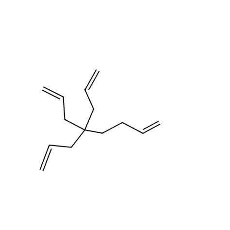 C=CCCC(CC=C)(CC=C)CC=C